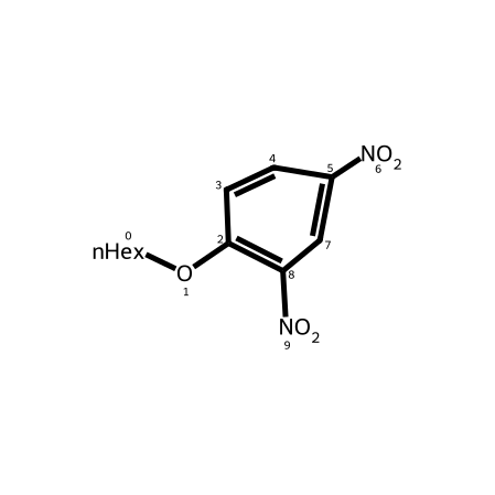 CCCCCCOc1ccc([N+](=O)[O-])cc1[N+](=O)[O-]